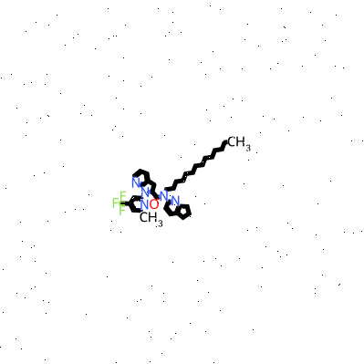 CCCCCCCCCCCCCCN(C(=O)C1Cc2cccnc2N1c1cc(C(F)(F)F)cc(C)n1)c1ccc2c(n1)CCC2